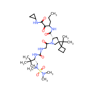 CCCC(NC(=O)[C@@H]1C[C@@]2(CN1C(=O)CNC(=O)N[C@H](CN(C)S(=O)(=O)N(C)C)C(C)(C)C)C(C)(C)C21CCC1)C(=O)C(=O)NC1CC1